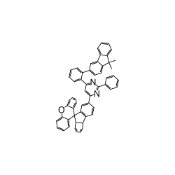 CC1(C)c2ccccc2-c2cc(-c3ccccc3-c3cc(-c4ccc5c(c4)C4(c6ccccc6Oc6ccccc64)C4C=CC=CC54)nc(-c4ccccc4)n3)ccc21